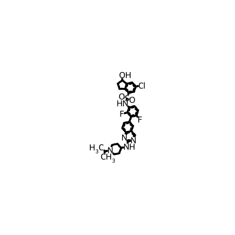 CC(C)N1CCC(Nc2ncc3cc(-c4c(F)ccc(NS(=O)(=O)c5cc(Cl)cc6c5CCC6O)c4F)ccc3n2)CC1